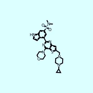 CN(C)S(=O)(=O)c1cc(-c2nc(N3CCOCC3)c3sc(CN4CCN(C5CC5)CC4)cc3n2)c2cc[nH]c2c1